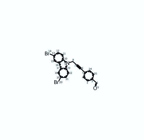 O=Cc1ccc(C#CCn2c3ccc(Br)cc3c3cc(Br)ccc32)cc1